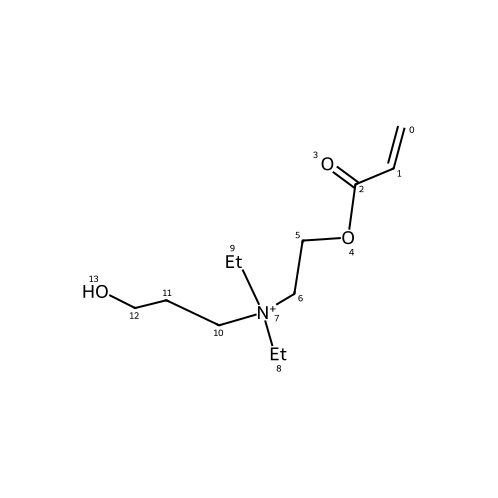 C=CC(=O)OCC[N+](CC)(CC)CCCO